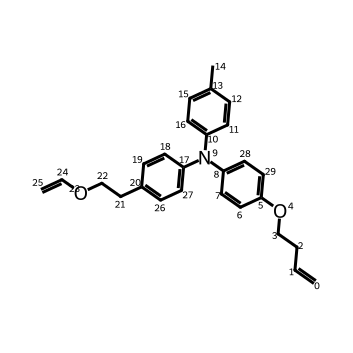 C=CCCOc1ccc(N(c2ccc(C)cc2)c2ccc(CCOC=C)cc2)cc1